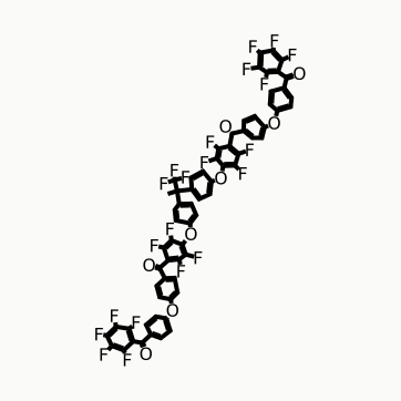 CC(c1ccc(Oc2c(F)c(F)c(C(=O)c3ccc(Oc4ccc(C(=O)c5c(F)c(F)c(F)c(F)c5F)cc4)cc3)c(F)c2F)cc1)(c1ccc(Oc2c(F)c(F)c(C(=O)c3ccc(Oc4ccc(C(=O)c5c(F)c(F)c(F)c(F)c5F)cc4)cc3)c(F)c2F)cc1)C(F)(F)F